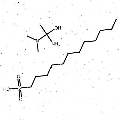 CCCCCCCCCCCCS(=O)(=O)O.CN(C)C(C)(N)O